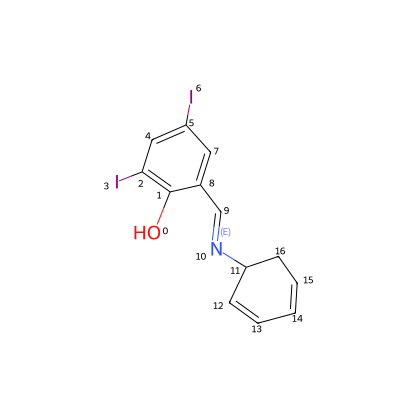 Oc1c(I)cc(I)cc1/C=N/C1C=CC=CC1